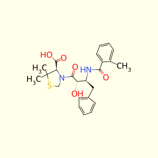 Cc1ccccc1C(=O)N[C@@H](Cc1ccccc1)[C@H](O)C(=O)N1CSC(C)(C)[C@H]1C(=O)O